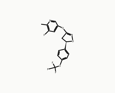 Cc1ncc(OC2=NO[C@@H](c3ccc(OC(F)(F)F)cc3)C2)cc1F